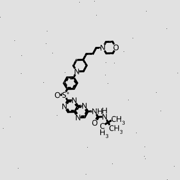 CC(C)(C)NC(=O)Nc1cnc2cnc([S+]([O-])c3ccc(N4CCC(CCCN5CCOCC5)CC4)cc3)nc2n1